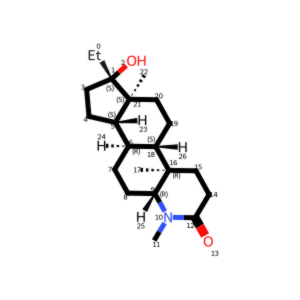 CC[C@]1(O)CC[C@H]2[C@@H]3CC[C@H]4N(C)C(=O)CC[C@]4(C)[C@H]3CC[C@@]21C